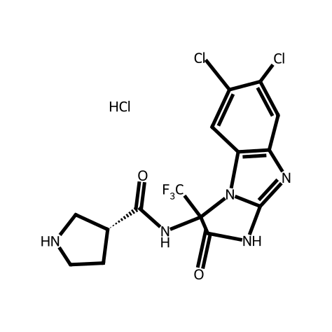 Cl.O=C(NC1(C(F)(F)F)C(=O)Nc2nc3cc(Cl)c(Cl)cc3n21)[C@@H]1CCNC1